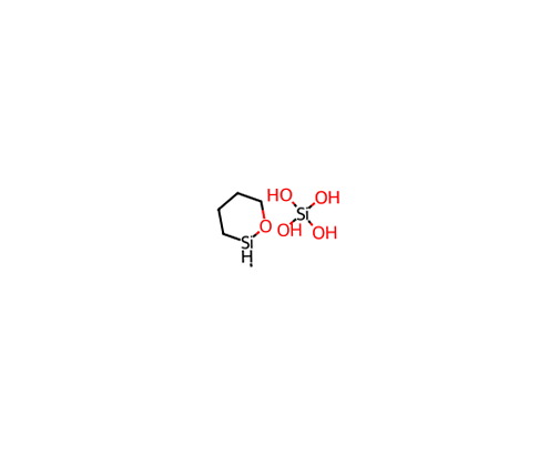 C[SiH]1CCCCO1.O[Si](O)(O)O